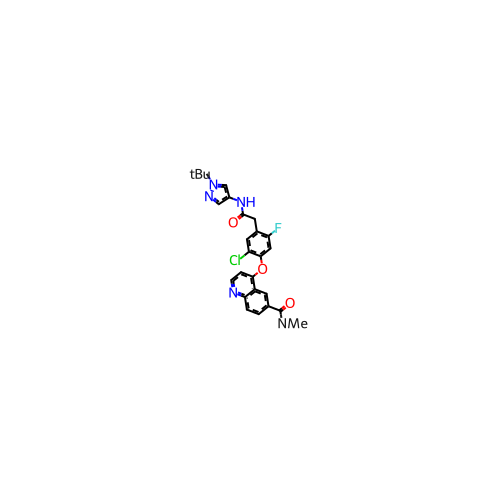 CNC(=O)c1ccc2nccc(Oc3cc(F)c(CC(=O)Nc4cnn(C(C)(C)C)c4)cc3Cl)c2c1